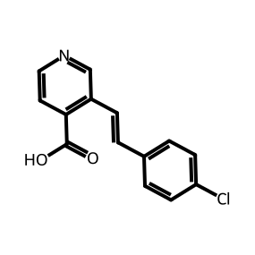 O=C(O)c1ccncc1C=Cc1ccc(Cl)cc1